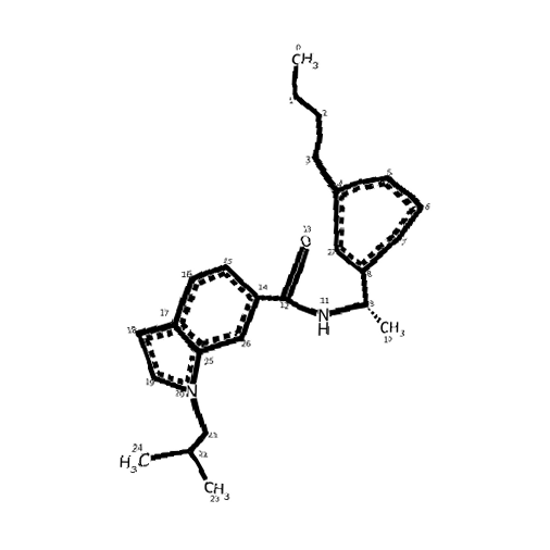 CCCCc1cccc([C@H](C)NC(=O)c2ccc3ccn(CC(C)C)c3c2)c1